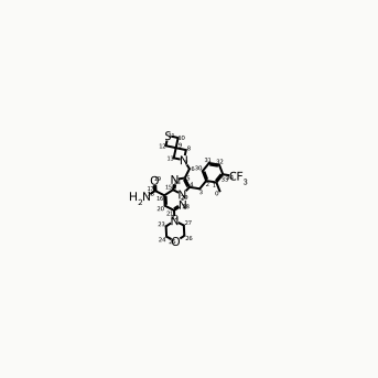 Cc1c(Cc2c(CN3CC4(CSC4)C3)nc3c(C(N)=O)cc(N4CCOCC4)nn23)cccc1C(F)(F)F